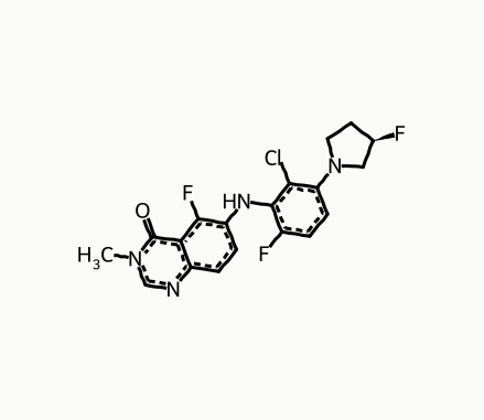 Cn1cnc2ccc(Nc3c(F)ccc(N4CC[C@@H](F)C4)c3Cl)c(F)c2c1=O